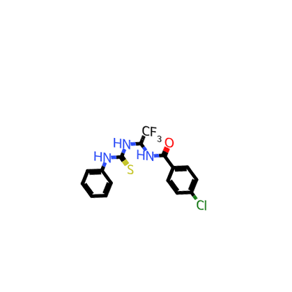 O=C(NC(NC(=S)Nc1ccccc1)C(F)(F)F)c1ccc(Cl)cc1